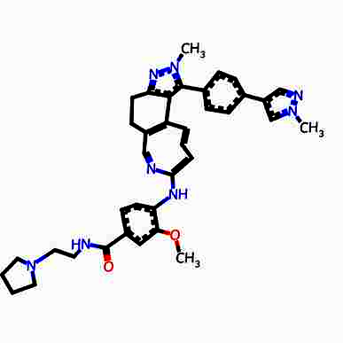 COc1cc(C(=O)NCCN2CCCC2)ccc1NC1=C/C=C/C2=C(/C=N\1)CCc1nn(C)c(-c3ccc(-c4cnn(C)c4)cc3)c12